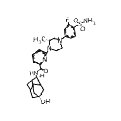 C[C@@H]1CN(c2ccc(S(N)(=O)=O)c(F)c2)CCN1c1cccc(C(=O)N[C@H]2C3CC4CC2C[C@](O)(C4)C3)n1